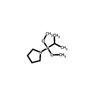 CO[Si](OC)(C(C)C)N1CCCC1